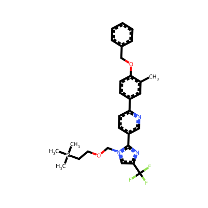 Cc1cc(-c2ccc(-c3nc(C(F)(F)F)cn3COCC[Si](C)(C)C)cn2)ccc1OCc1ccccc1